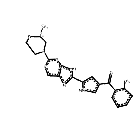 C[C@@H]1CN(c2ncc3nc(-c4cc(C(=O)c5ccccc5C(F)(F)F)c[nH]4)[nH]c3n2)CCO1